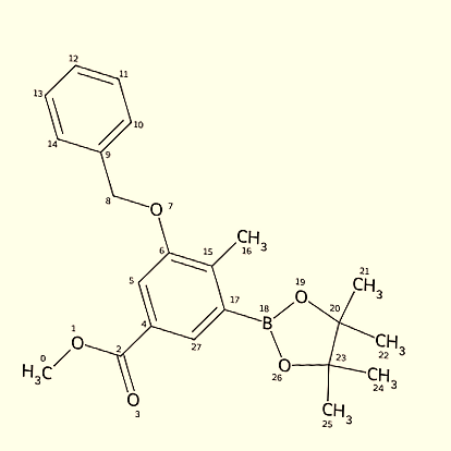 COC(=O)c1cc(OCc2ccccc2)c(C)c(B2OC(C)(C)C(C)(C)O2)c1